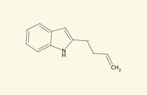 C=CC[CH]c1cc2ccccc2[nH]1